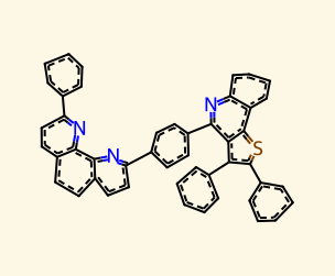 c1ccc(-c2ccc3ccc4ccc(-c5ccc(-c6nc7ccccc7c7sc(-c8ccccc8)c(-c8ccccc8)c67)cc5)nc4c3n2)cc1